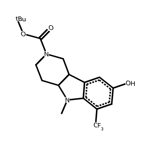 CN1c2c(cc(O)cc2C(F)(F)F)C2CN(C(=O)OC(C)(C)C)CCC21